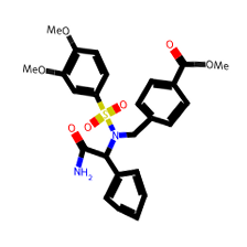 COC(=O)c1ccc(CN(C(C(N)=O)c2ccccc2)S(=O)(=O)c2ccc(OC)c(OC)c2)cc1